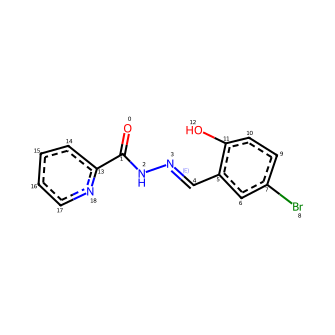 O=C(N/N=C/c1cc(Br)ccc1O)c1ccccn1